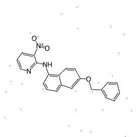 O=[N+]([O-])c1cccnc1Nc1cccc2cc(OCc3ccccc3)ccc12